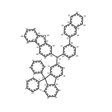 c1ccc(C2(c3ccccc3)c3ccccc3-c3ccc(N(c4cccc(-c5ccc6ccccc6c5)c4)c4ccc5c(c4)oc4ccccc45)cc32)cc1